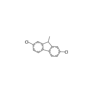 CC1c2cc(Cl)ccc2-c2ccc(Cl)cc21